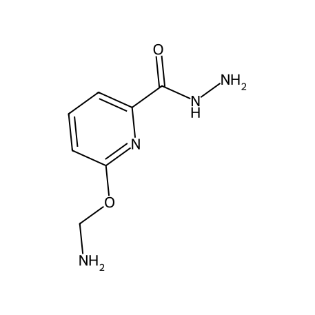 NCOc1cccc(C(=O)NN)n1